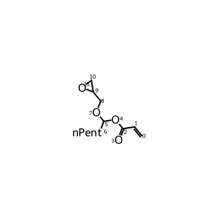 C=CC(=O)OC(CCCCC)OCC1CO1